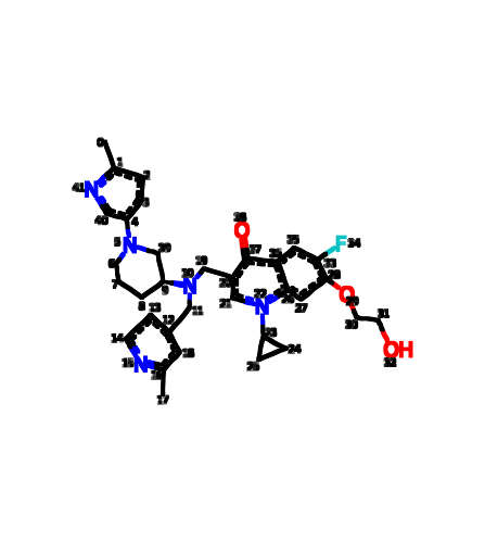 Cc1ccc(N2CCC[C@H](N(Cc3ccnc(C)c3)Cc3cn(C4CC4)c4cc(OCCO)c(F)cc4c3=O)C2)cn1